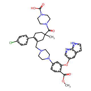 COC(=O)c1ccc(N2CCN(CC3=C(c4ccc(Cl)cc4)CCC(C)(C(=O)N4CCN(C(=O)O)CC4)C3)CC2)cc1Oc1cnc2[nH]ccc2c1